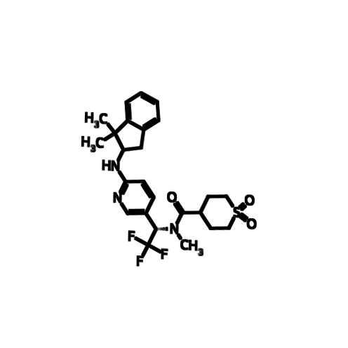 CN(C(=O)C1CCS(=O)(=O)CC1)[C@@H](c1ccc(NC2Cc3ccccc3C2(C)C)nc1)C(F)(F)F